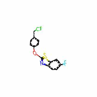 Fc1ccc2nc(Oc3ccc(CCl)cc3)sc2c1